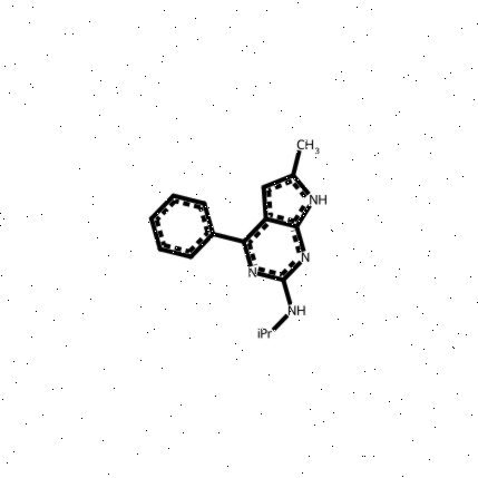 Cc1cc2c(-c3ccccc3)nc(NC(C)C)nc2[nH]1